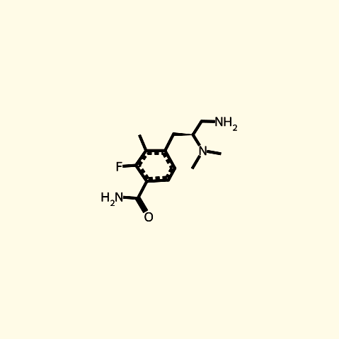 Cc1c(C[C@@H](CN)N(C)C)ccc(C(N)=O)c1F